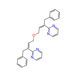 C(COCC=C(Cc1ccccc1)c1ncccn1)=C(Cc1ccccc1)c1ncccn1